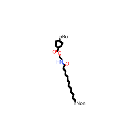 CCCCCCCCCC=CC=CC=CC=CC=CC=CC(=O)NCCOC(=O)c1ccc(CCCC)cc1